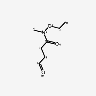 CCON(C)C(=O)CCC=O